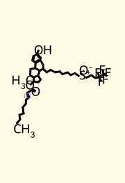 CCCCCCCC/C=C/C(=O)OC1CCC2C3C(CCCCCCCCC[S+]([O-])CCCC(F)(F)C(F)(F)F)Cc4cc(O)ccc4C3CCC12C